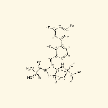 CC[C@](C)(O)C(=O)N1CC2(CC2)[C@H](NS(=O)(=O)C(F)F)[C@@H]1Cc1cccc(-c2cc(F)cc(F)c2)c1F